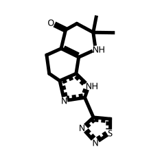 CC1(C)CC(=O)C2=C(N1)c1[nH]c(-c3csnn3)nc1CC2